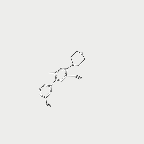 Cc1nc(N2CCOCC2)c(C#N)cc1-c1cncc(N)c1